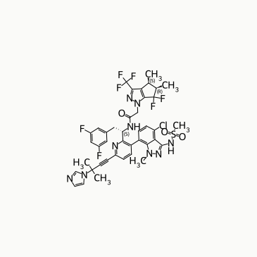 C[C@@H]1c2c(C(F)(F)F)nn(CC(=O)N[C@@H](Cc3cc(F)cc(F)c3)c3nc(C#CC(C)(C)n4ccnc4)ccc3-c3ccc(Cl)c4c(NS(C)(=O)=O)nn(C)c34)c2C(F)(F)[C@@H]1C